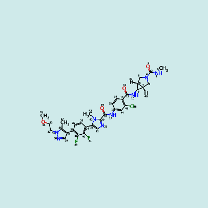 CNC(=O)N1C[C@@H]2[C@H](C1)[C@H]2NC(=O)c1ccc(NC(=O)c2ncc(-c3ccc(-c4cnn(CCOC)c4C)c(F)c3F)n2C)cc1Cl